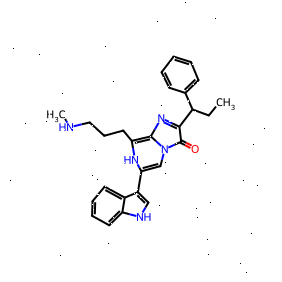 CCC(c1ccccc1)c1nc2c(CCCNC)[nH]c(-c3c[nH]c4ccccc34)cn-2c1=O